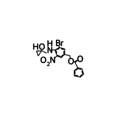 O=C(OCc1cc(Br)c(NCC2(O)CC2)c([N+](=O)[O-])c1)c1ccccc1